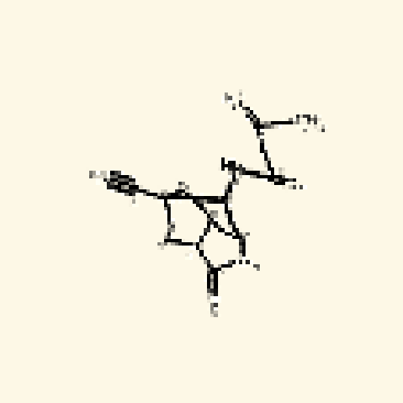 C=C(C)C(=O)NC1C2OC(=O)C3CC1(C#N)CC32